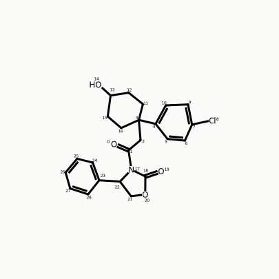 O=C(CC1(c2ccc(Cl)cc2)CCC(O)CC1)N1C(=O)OCC1c1ccccc1